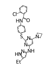 CCc1cc(Nc2cc(N3CCC3)nc(Sc3ccc(NC(=O)c4ccccc4Cl)cc3)n2)n[nH]1